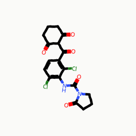 O=C1CCCC(=O)C1C(=O)c1ccc(Cl)c(NC(=O)N2CCCC2=O)c1Cl